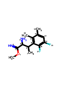 COC(=N)C(N)C(C)c1c(C)c(C)cc(F)c1F